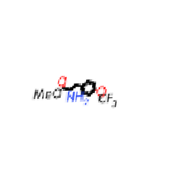 COC(=O)/C(N)=C/c1ccc(OC(F)(F)F)cc1